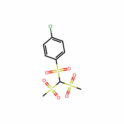 CS(=O)(=O)C(S(C)(=O)=O)S(=O)(=O)c1ccc(Cl)cc1